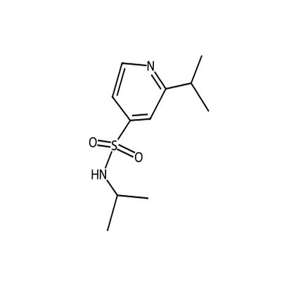 CC(C)NS(=O)(=O)c1ccnc(C(C)C)c1